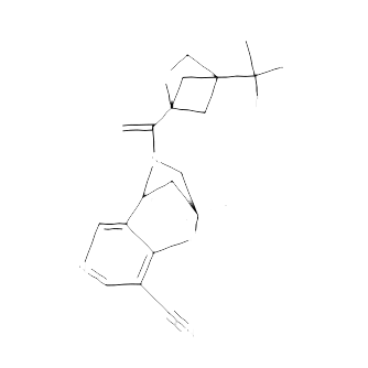 N#Cc1cncc2c1O[C@H]1C[C@@H]2N(C(=O)C23CC(C(F)(F)F)(CO2)C3)C1